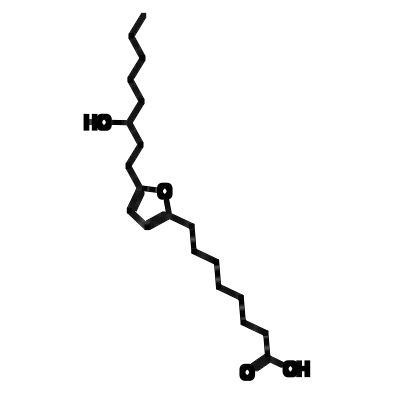 CCCCCC(O)CCc1ccc(CCCCCCCC(=O)O)o1